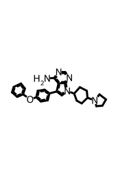 Nc1ncnc2c1c(-c1ccc(Oc3ccccc3)cc1)cn2C1CCC(N2CCCC2)CC1